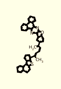 C=C(/C=C\C=C(/C)c1cccc2c1sc1ccc3ccccc3c12)c1ccc2oc3nc4c5ccccc5c5ccccc5c4nc3c2c1